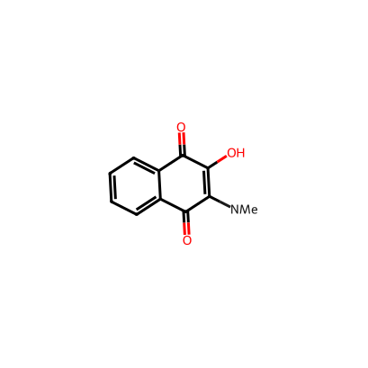 CNC1=C(O)C(=O)c2ccccc2C1=O